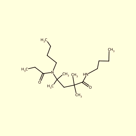 CCCCNC(=O)C(C)(C)CC(C)(C)N(CCCC)C(=O)CC